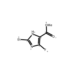 CCc1nc(F)c(C(=O)OC)[nH]1